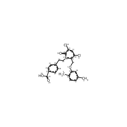 Cc1ccc(C)c(OCc2c(Cl)cc(Cl)c(=O)n2CCc2ccc(C(=O)O)cc2)c1